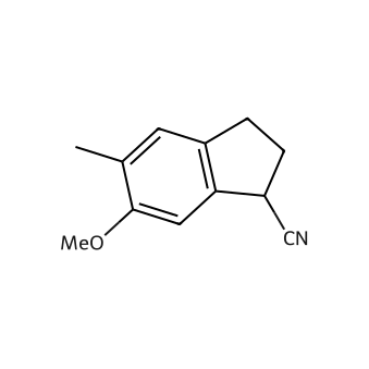 COc1cc2c(cc1C)CCC2C#N